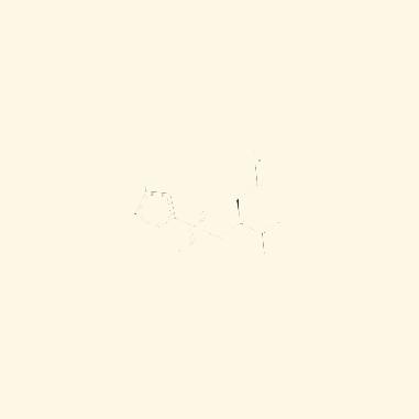 CCC(CC)[C@H](CCO)NS(=O)(=O)c1cccs1